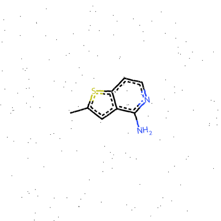 Cc1cc2c(N)nccc2s1